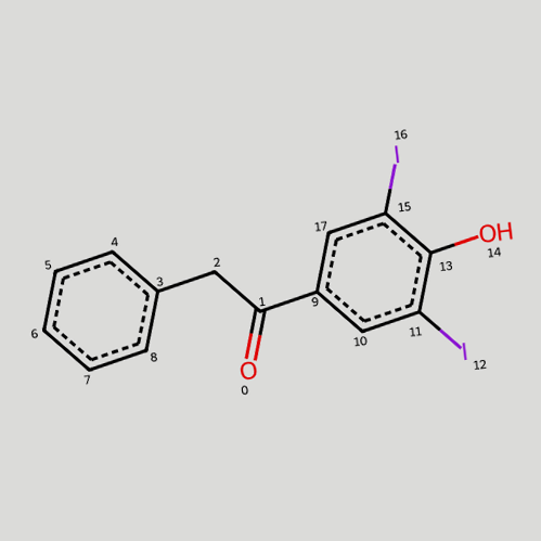 O=C(Cc1ccccc1)c1cc(I)c(O)c(I)c1